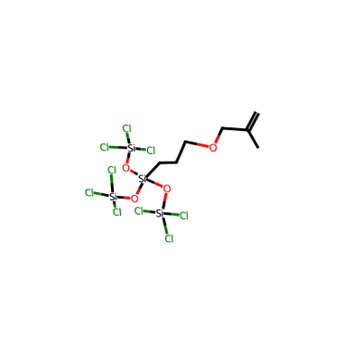 C=C(C)COCCC[Si](O[Si](Cl)(Cl)Cl)(O[Si](Cl)(Cl)Cl)O[Si](Cl)(Cl)Cl